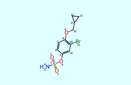 NS(=O)(=O)Oc1ccc(OCC2CC2)c(Br)c1